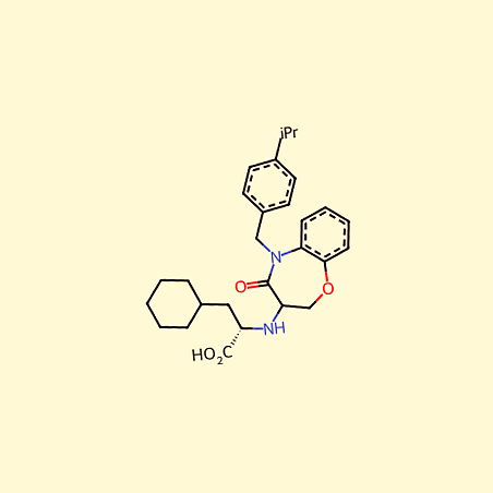 CC(C)c1ccc(CN2C(=O)C(N[C@@H](CC3CCCCC3)C(=O)O)COc3ccccc32)cc1